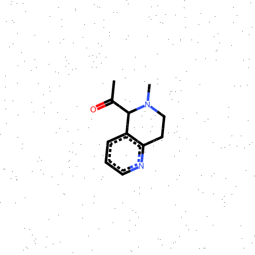 CC(=O)C1c2cccnc2CCN1C